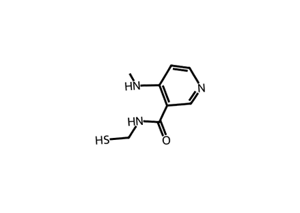 CNc1ccncc1C(=O)NCS